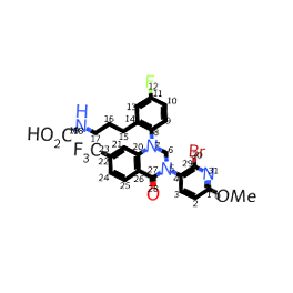 COc1ccc(N2CN(c3ccc(F)cc3CCCNC(=O)O)c3cc(C(F)(F)F)ccc3C2=O)c(Br)n1